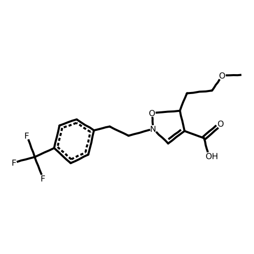 COCCC1ON(CCc2ccc(C(F)(F)F)cc2)C=C1C(=O)O